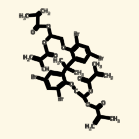 C=C(C)C(=O)OC(COc1c(Br)cc(Br)cc1C(C)(C)c1cc(Br)cc(Br)c1OCC(OC(=O)C(=C)C)OC(=O)C(=C)C)OC(=O)C(=C)C